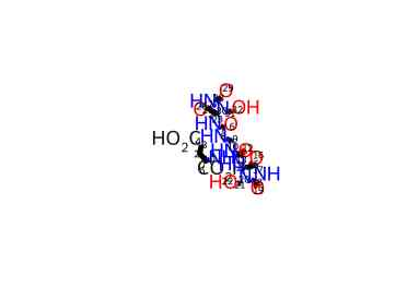 N[C@@H](CCC(=O)O)C(=O)O.O=C(NCNC(=O)NC1C(=O)NC(=O)N1CO)NC1C(=O)NC(=O)N1CO